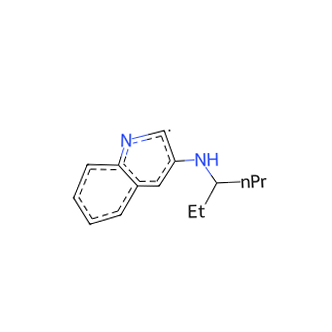 CCCC(CC)Nc1[c]nc2ccccc2c1